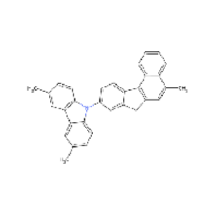 Cc1ccc2c(c1)c1cc(C)ccc1n2-c1ccc2c(c1)Cc1cc(C)c3ccccc3c1-2